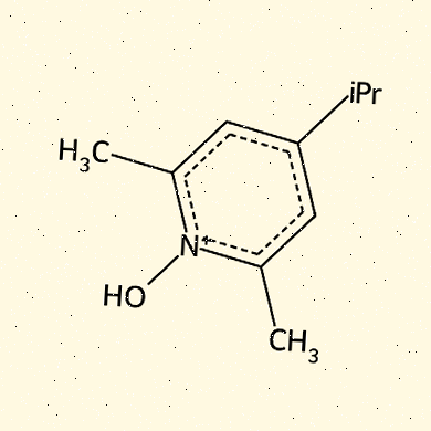 Cc1cc(C(C)C)cc(C)[n+]1O